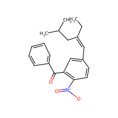 CC/C(=C/c1ccc([N+](=O)[O-])c(C(=O)c2ccccc2)c1)CC(C)C